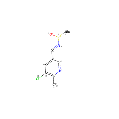 CC(C)(C)[S+]([O-])/N=C/c1cnc(C(F)(F)F)c(Cl)c1